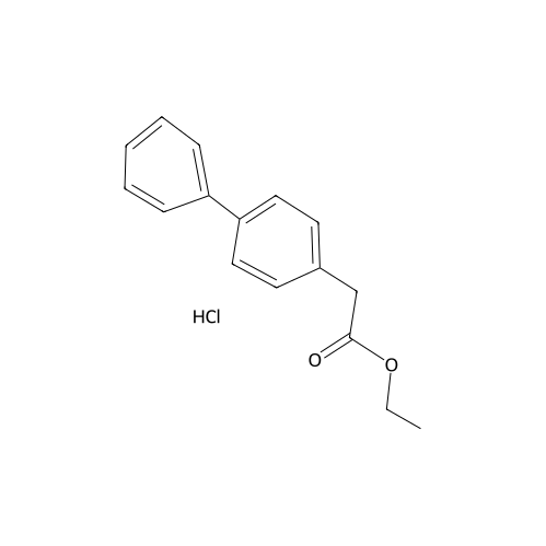 CCOC(=O)Cc1ccc(-c2ccccc2)cc1.Cl